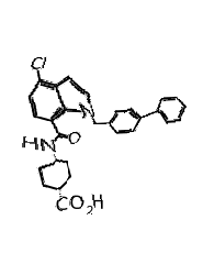 O=C(N[C@H]1CC[C@@H](C(=O)O)CC1)c1ccc(Cl)c2ccn(Cc3ccc(-c4ccccc4)cc3)c12